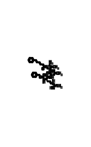 CC(C)C[C@H](NC(=O)[C@H](CCCNC(=N)N)NC(=O)OCc1ccccc1)C(=O)N[C@H](CNC(=O)CCCCCc1ccccc1)C(C)C